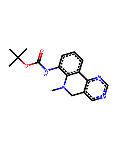 CN1Cc2cncnc2-c2cccc(NC(=O)OC(C)(C)C)c21